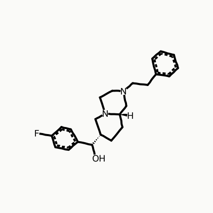 OC(c1ccc(F)cc1)[C@H]1CC[C@H]2CN(CCc3ccccc3)CCN2C1